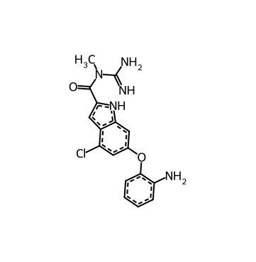 CN(C(=N)N)C(=O)c1cc2c(Cl)cc(Oc3ccccc3N)cc2[nH]1